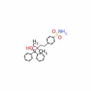 CC(C)(CCc1ccc(S(N)(=O)=O)cc1)[Si](O)(c1ccccc1)c1ccccc1